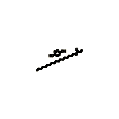 C=CC(=O)OCCCCCCCCCCCCCCCCCC.O=C(O)/C=C\C(=O)O